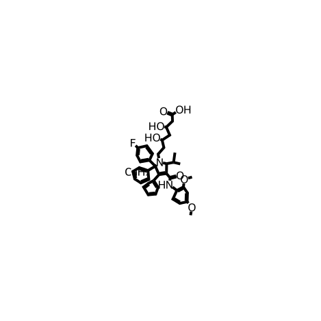 COc1ccc(NC(=O)C2=C(c3ccccc3)C(c3ccccc3)(c3ccc(F)cc3)N(CCC(O)CC(O)CC(=O)O)C2C(C)C)c(OC)c1.[CaH2]